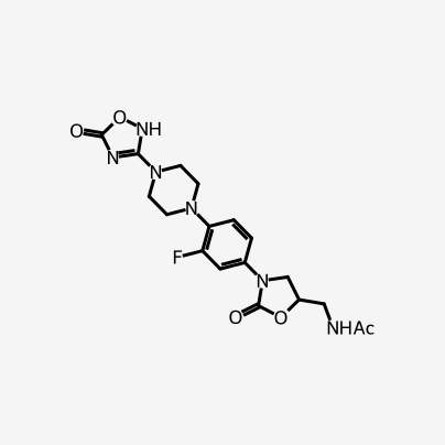 CC(=O)NCC1CN(c2ccc(N3CCN(c4nc(=O)o[nH]4)CC3)c(F)c2)C(=O)O1